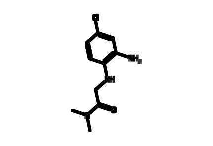 CN(C)C(=O)CNc1ccc(Cl)cc1N